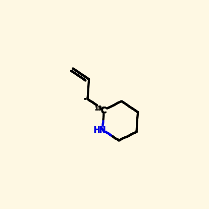 C=C[CH][13CH]1CCCCN1